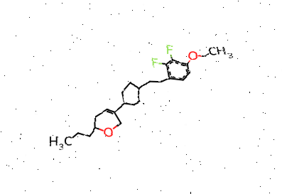 CCCC1CC=C(C2CCC(CCc3ccc(OCC)c(F)c3F)CC2)CO1